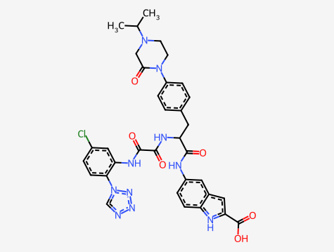 CC(C)N1CCN(c2ccc(CC(NC(=O)C(=O)Nc3cc(Cl)ccc3-n3cnnn3)C(=O)Nc3ccc4[nH]c(C(=O)O)cc4c3)cc2)C(=O)C1